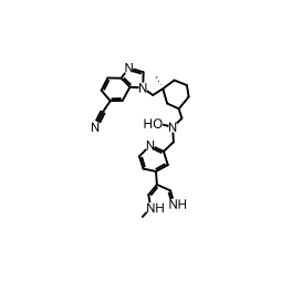 CN/C=C(\C=N)c1ccnc(CN(O)CC2CCC[C@](C)(Cn3cnc4ccc(C#N)cc43)C2)c1